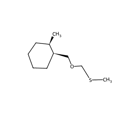 CSCOC[C@H]1CCCC[C@H]1C